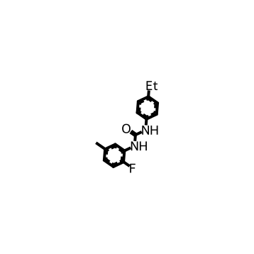 CCc1ccc(NC(=O)Nc2cc(C)ccc2F)cc1